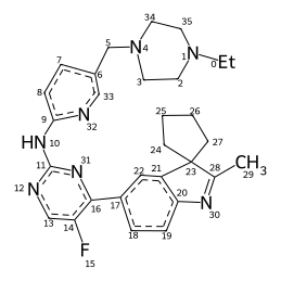 CCN1CCN(Cc2ccc(Nc3ncc(F)c(-c4ccc5c(c4)C4(CCCC4)C(C)=N5)n3)nc2)CC1